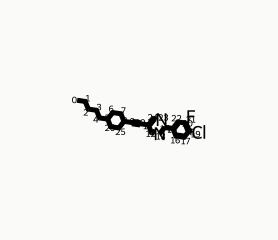 CCCCCC1CCC(C#Cc2cnc(-c3ccc(Cl)c(F)c3)nc2)CC1